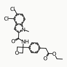 CCOC(=O)Cc1ccc(C2(NC(=O)c3cc4c(Cl)c(Cl)ccc4n3C)COC2)cc1